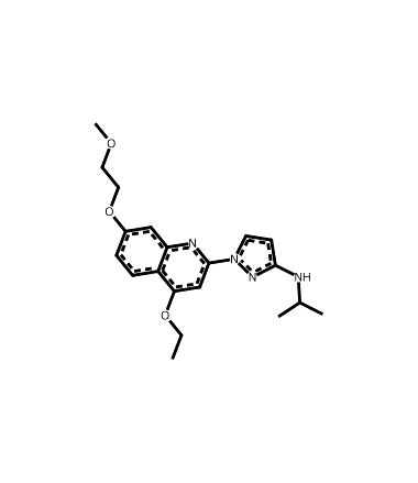 CCOc1cc(-n2ccc(NC(C)C)n2)nc2cc(OCCOC)ccc12